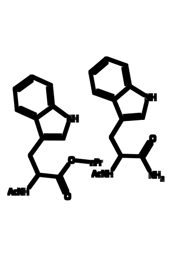 CC(=O)NC(Cc1c[nH]c2ccccc12)C(N)=O.CCCOC(=O)C(Cc1c[nH]c2ccccc12)NC(C)=O